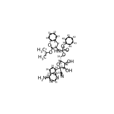 CC(C)OC(=O)C(Cc1ccccc1)NP(=O)(OC[C@H]1OC(C#N)(c2ccc3c(N)ncnn23)[C@H](O)[C@@H]1O)Oc1ccccc1